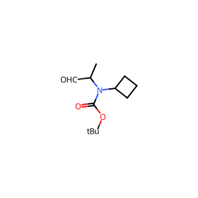 CC(C=O)N(C(=O)OC(C)(C)C)C1CCC1